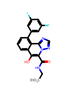 CCOC(=O)CNC(=O)c1c(O)c2cccc(-c3cc(F)cc(F)c3)c2c2ncnn12